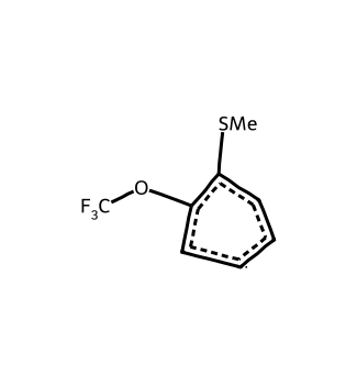 CSc1cc[c]cc1OC(F)(F)F